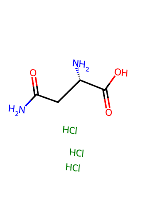 Cl.Cl.Cl.NC(=O)C[C@H](N)C(=O)O